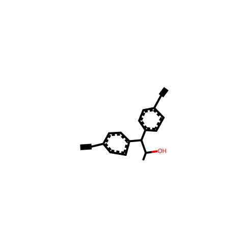 C#Cc1ccc(C(c2ccc(C#C)cc2)C(C)O)cc1